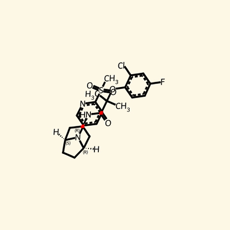 CC(C)(Oc1ccc(F)cc1Cl)C(=O)N[C@H]1C[C@H]2CC[C@@H](C1)N2c1ccc(S(C)(=O)=O)nc1